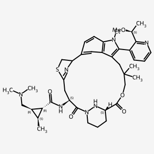 CCn1c(-c2cccnc2[C@H](C)OC)c2c3cc(ccc31)C1CSC(=N1)C[C@H](NC(=O)[C@@H]1[C@@H](C)[C@H]1CN(C)C)C(=O)N1CCC[C@H](N1)C(=O)OCC(C)(C)C2